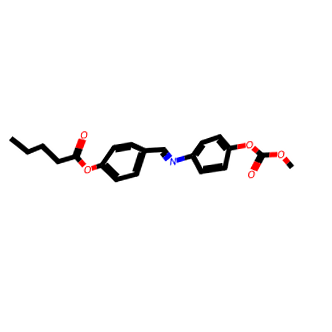 CCCCC(=O)Oc1ccc(/C=N/c2ccc(OC(=O)OC)cc2)cc1